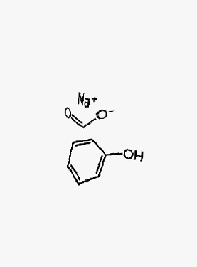 O=C[O-].Oc1ccccc1.[Na+]